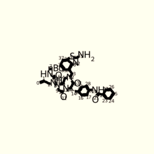 C=CCN(C(=O)NCCCC)N1CC(=O)N2[C@@H](Cc3ccc(NC(=O)c4ccccc4)cc3)C(=O)N(Cc3cccc4sc(N)nc34)C[C@@H]21